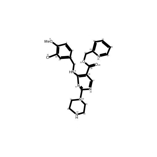 COc1ccc(CNc2nc(N3CCNCC3)ncc2C(=O)OCc2ccccn2)cc1Cl